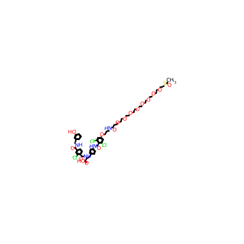 CC(=O)SCCOCCOCCOCCOCCOCCOCCOCCOCCC(=O)NCCCOc1cc(Cl)c(C(=O)Nc2ccc(CC(NC(=O)c3ccc(C(=O)NCc4cccc(O)c4)cc3Cl)C(=O)O)cc2)c(Cl)c1